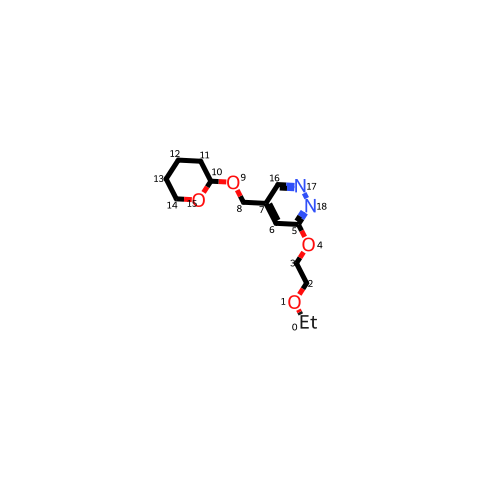 CCOCCOc1cc(COC2CCCCO2)cnn1